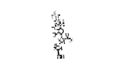 CC(NS(=O)(=O)c1ccc(-c2sc(-c3noc(C(C)(C)O)n3)nc2C(=O)O)c(Cl)c1Cl)C(F)(F)F